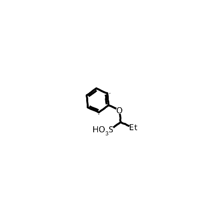 CCC(Oc1[c]ccc[c]1)S(=O)(=O)O